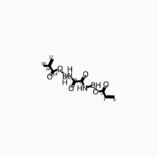 C=CC(=O)OBNC(=O)C(=O)NBOC(=O)C(=C)C